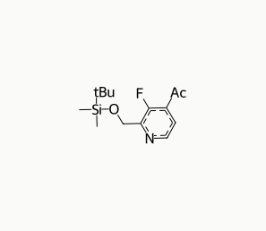 [CH2]C(=O)c1ccnc(CO[Si](C)(C)C(C)(C)C)c1F